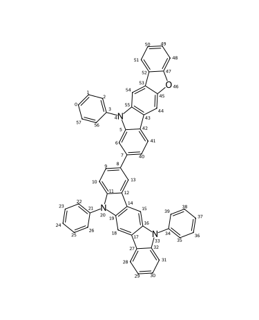 c1ccc(-n2c3cc(-c4ccc5c(c4)c4cc6c(cc4n5-c4ccccc4)c4ccccc4n6-c4ccccc4)ccc3c3cc4oc5ccccc5c4cc32)cc1